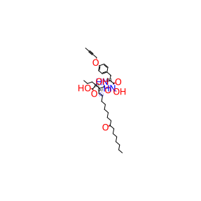 CC#CCOc1ccc(C[C@H](NC(=O)[C@@H](/C=C/CCCCCCC(=O)CCCCCCC)[C@@](O)(CCC)C(=O)O)C(=O)NO)cc1